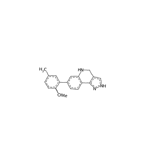 COc1ccc(C)cc1-c1ccc2c(c1)NCc1c[nH]nc1-2